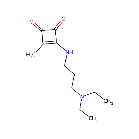 CCN(CC)CCCNc1c(C)c(=O)c1=O